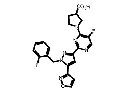 O=C(O)C1CCN(c2nc(-c3cc(-c4ccon4)n(Cc4ccccc4F)n3)ncc2F)C1